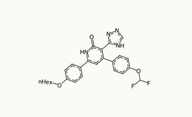 CCCCCCOc1ccc(-c2cc(-c3ccc(OC(F)F)cc3)c(-c3nnc[nH]3)c(=O)[nH]2)cc1